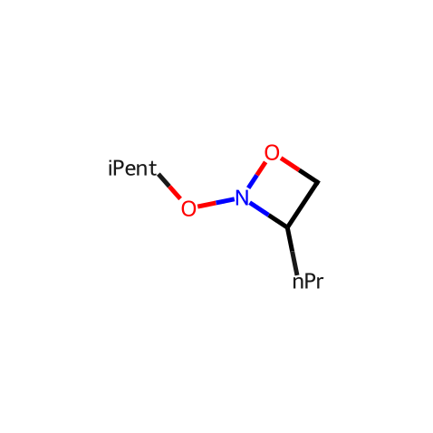 CCCC(C)ON1OCC1CCC